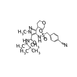 C[C@H](NC(=O)c1c(NS(=O)(=O)Cc2ccc(C#N)cc2)c(C2CCOCC2)nn1C)C(C)(C)C